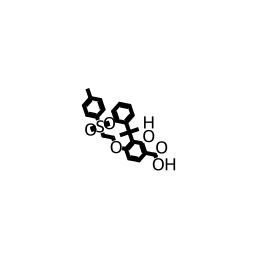 Cc1ccc(S(=O)(=O)CCOc2ccc(C(=O)O)c(O)c2C(C)(C)c2ccccc2)cc1